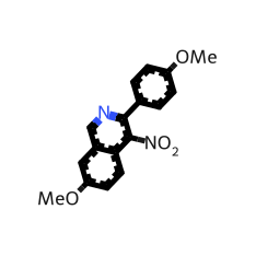 COc1ccc(-c2ncc3cc(OC)ccc3c2[N+](=O)[O-])cc1